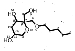 CCCCCOC[C@@]1(CO)OC[C@@H](O)CC1O